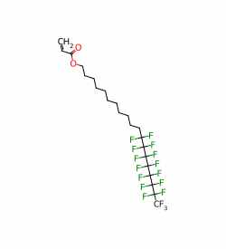 C=CC(=O)OCCCCCCCCCCCC(F)(F)C(F)(F)C(F)(F)C(F)(F)C(F)(F)C(F)(F)C(F)(F)C(F)(F)F